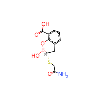 NC(=O)CS[C@H]1Cc2cccc(C(=O)O)c2OB1O